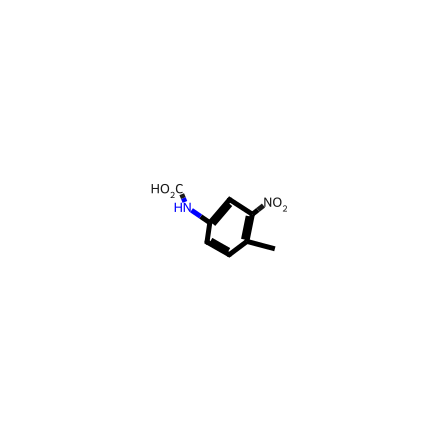 Cc1ccc(NC(=O)O)cc1[N+](=O)[O-]